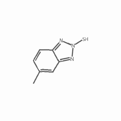 Cc1ccc2nn(S)nc2c1